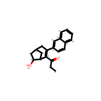 CCC(=O)C1=C(c2ccc3ccccc3c2)CC2CC(O)C1C2